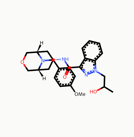 COc1ccc(CN2[C@@H]3COC[C@H]2C[C@@H](NC(=O)c2nn(CC(C)O)c4ccccc24)C3)cc1